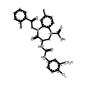 Cc1ccc2c(c1)N(CC(=O)c1ccccc1C)C(=O)C(NC(=O)Nc1ccc(Cl)c(C(=O)O)c1)CN2C(=O)C(C)(C)C